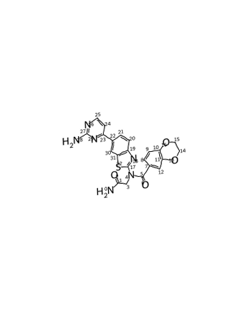 NC(=O)CN(C(=O)c1ccc2c(c1)OCCO2)c1nc2ccc(-c3ccnc(N)n3)cc2s1